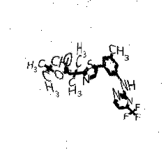 Cc1cc(Nc2nccc(C(F)(F)F)n2)cc(-c2cnc(C(C)(C)C(=O)OC(C)(C)C)s2)c1